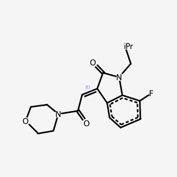 CC(C)CN1C(=O)/C(=C/C(=O)N2CCOCC2)c2cccc(F)c21